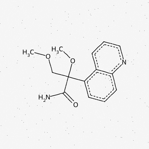 COCC(OC)(C(N)=O)c1cccc2ncccc12